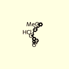 COc1ccccc1CCN1CCC(CCC(=O)c2cc3c4c(c2)CC(=O)N4CCC3)CC1.Cl